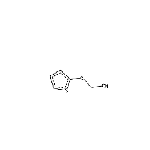 N#CCSc1cccs1